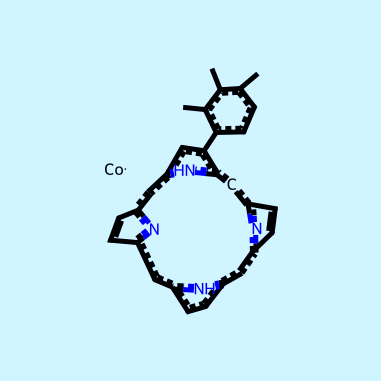 Cc1ccc(-c2cc3cc4nc(cc5ccc(cc6nc(cc2[nH]3)C=C6)[nH]5)C=C4)c(C)c1C.[Co]